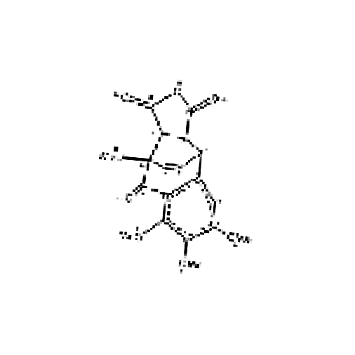 COc1cc2c(c(OC)c1OC)C(=O)C1(OC)C=CC2C2C(=O)OC(=O)C21